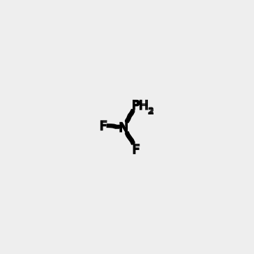 FN(F)P